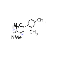 C=C(/C=C\C(=C/NC)C(C)C)c1ccc(C)cc1C